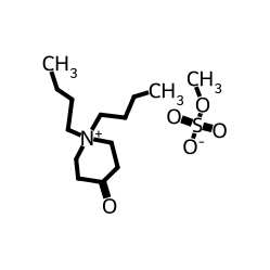 CCCC[N+]1(CCCC)CCC(=O)CC1.COS(=O)(=O)[O-]